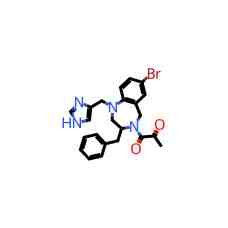 CC(=O)C(=O)N1Cc2cc(Br)ccc2N(Cc2c[nH]cn2)CC1Cc1ccccc1